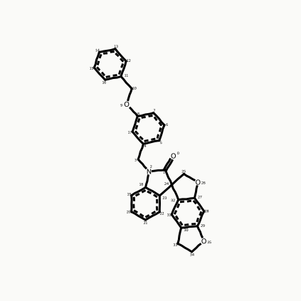 O=C1N(Cc2cccc(OCc3ccccc3)c2)c2ccccc2C12COc1cc3c(cc12)CCO3